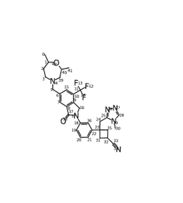 CC1CCN(Cc2cc3c(c(C(F)(F)F)c2)CN(c2cccc(C4(Cc5nncn5C)CC(C#N)C4)c2)C3=O)CC(C)O1